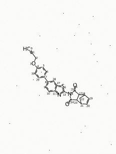 C#CCOc1ccc(-c2ccc3nc(N4C(=O)C5C6C=CC(C6)C5C4=O)sc3c2)cc1